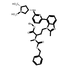 Cc1nc2cccc(-c3cccc(N[C@H]4C[C@@H](C(=O)O)N(C(=O)O)C4)n3)c2n1CCC(C(=O)OC(C)(C)C)N(C)C(=O)OCc1ccccc1